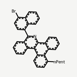 CCCCCc1cccc2c1c1ccccc1c1nc(-c3ccc(Br)c4ccccc34)c3ccccc3c21